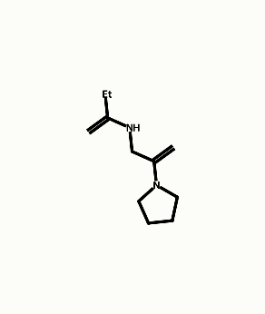 C=C(CC)NCC(=C)N1CCCC1